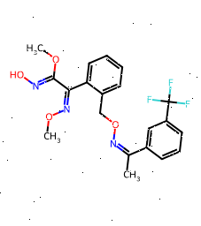 CON=C(C(=NO)OC)c1ccccc1CON=C(C)c1cccc(C(F)(F)F)c1